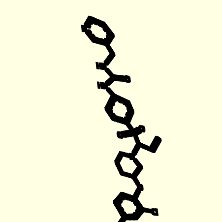 C=CC(N1CCCC(Oc2ccc(F)cc2Cl)C1)S(=O)(=O)c1ccc(NC(=O)NCc2cccnc2)cc1